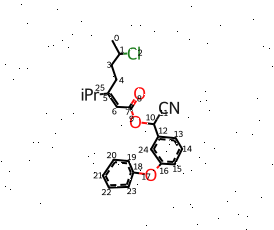 CC(Cl)CCC(=CC(=O)OC(C#N)c1cccc(Oc2ccccc2)c1)C(C)C